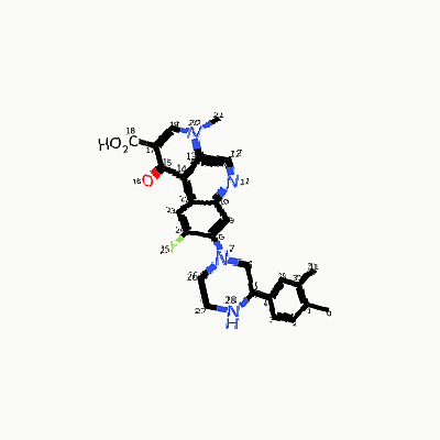 Cc1ccc(C2CN(c3cc4ncc5c(c(=O)c(C(=O)O)cn5C)c4cc3F)CCN2)cc1C